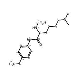 CN(C)CCCC[C@H](NC(=O)O)C(=O)Nc1ccc(CO)cc1